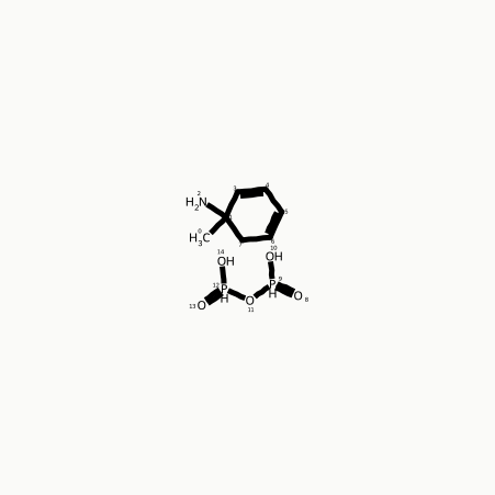 CC1(N)C=CC=CC1.O=[PH](O)O[PH](=O)O